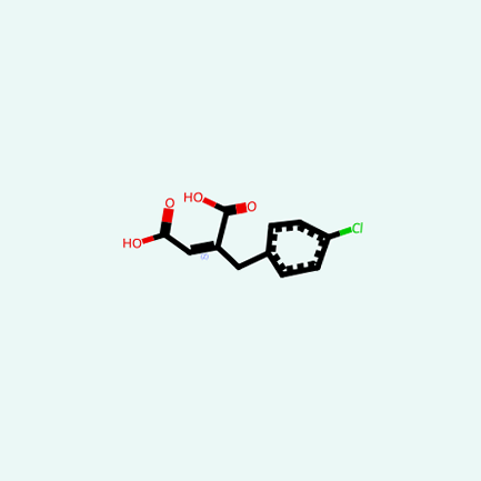 O=C(O)/C=C(/Cc1ccc(Cl)cc1)C(=O)O